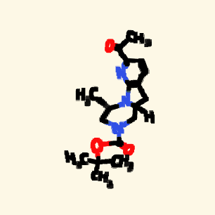 CC(=O)c1ccc2c(n1)N1[C@H](C2)CN(C(=O)OC(C)(C)C)C[C@H]1C